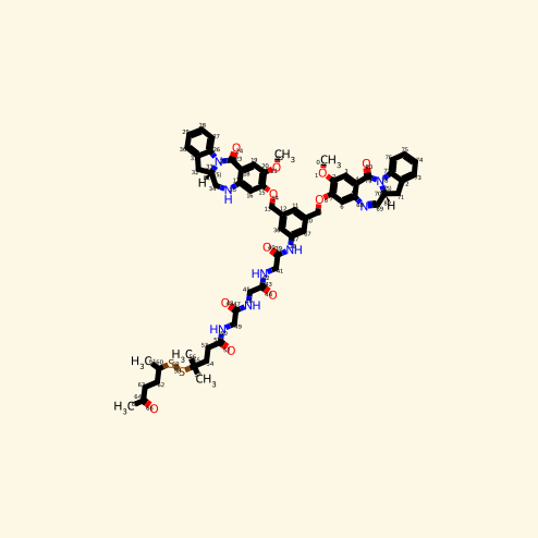 COc1cc2c(cc1OCc1cc(COc3cc4c(cc3OC)C(=O)N3c5ccccc5C[C@H]3CN4)cc(NC(=O)CNC(=O)CNC(=O)CNC(=O)CCC(C)(C)SSC(C)CCC(C)=O)c1)N=C[C@@H]1Cc3ccccc3N1C2=O